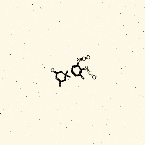 CC1=CC(=O)CC(C)(C)C1.Cc1cccc(N=C=O)c1N=C=O